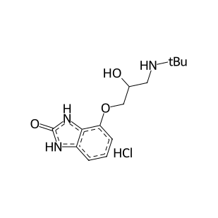 CC(C)(C)NCC(O)COc1cccc2[nH]c(=O)[nH]c12.Cl